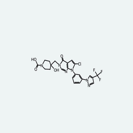 O=C(O)N1CCC(O)(Cn2cnc3c(cc(Cl)n3-c3cccc(-n4cc(C(F)(F)F)cn4)c3)c2=O)CC1